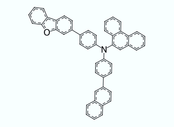 c1ccc2cc(-c3ccc(N(c4ccc(-c5ccc6c(c5)oc5ccccc56)cc4)c4cc5ccccc5c5ccccc45)cc3)ccc2c1